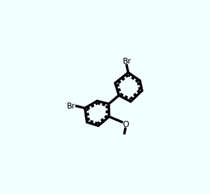 COc1ccc(Br)cc1-c1cccc(Br)c1